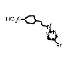 CCc1cnc(N(C)CCC2CCC(C(=O)O)CC2)nc1